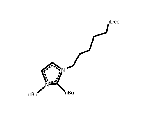 CCCCCCCCCCCCCCC[n+]1ccn(CCCC)c1CCCC